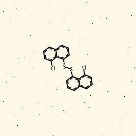 Clc1cccc2cccc(SSc3cccc4cccc(Cl)c34)c12